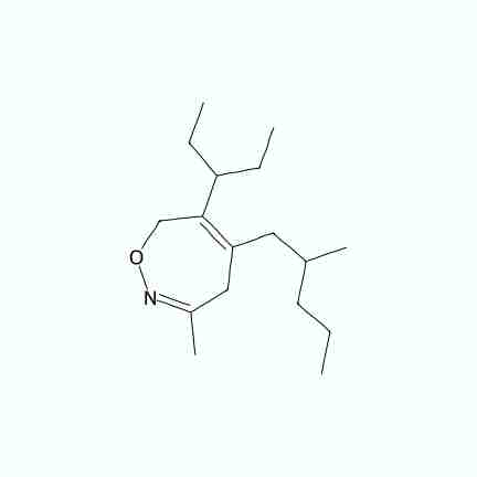 CCCC(C)CC1=C(C(CC)CC)CON=C(C)C1